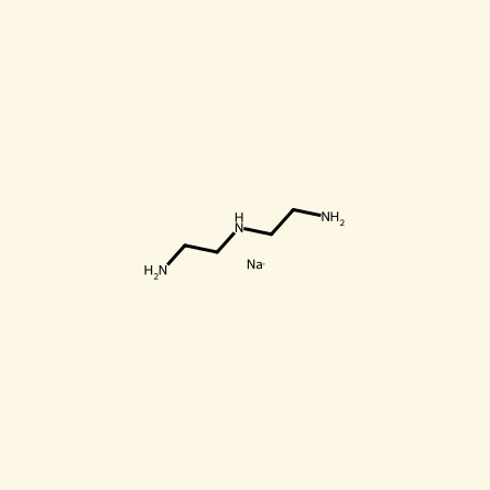 NCCNCCN.[Na]